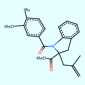 C=C(C)CC1(C(=O)OC)Cc2ccccc2N1C(=O)c1ccc(C(C)(C)C)c(OC)c1